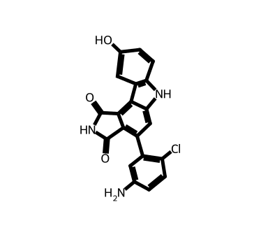 Nc1ccc(Cl)c(-c2cc3[nH]c4ccc(O)cc4c3c3c2C(=O)NC3=O)c1